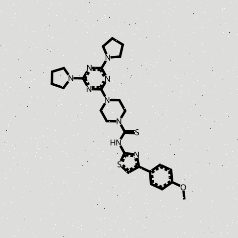 COc1ccc(-c2csc(NC(=S)N3CCN(c4nc(N5CCCC5)nc(N5CCCC5)n4)CC3)n2)cc1